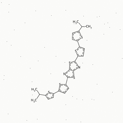 CC(C)c1ccc(-c2ccc(-c3nc4sc(-c5ccc(-c6ccc(C(C)C)s6)s5)nc4s3)s2)s1